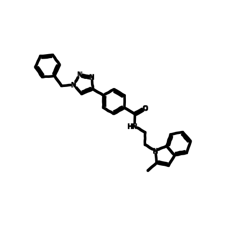 Cc1cc2ccccc2n1CCNC(=O)c1ccc(-c2cn(Cc3ccccc3)nn2)cc1